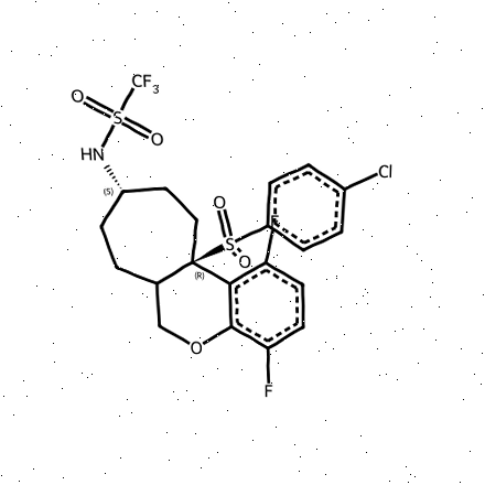 O=S(=O)(N[C@H]1CCC2COc3c(F)ccc(F)c3[C@@]2(S(=O)(=O)c2ccc(Cl)cc2)CC1)C(F)(F)F